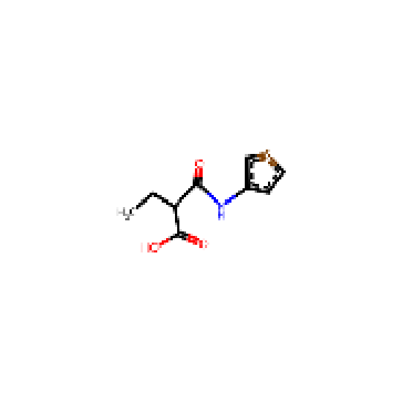 CCC(C(=O)O)C(=O)Nc1ccsc1